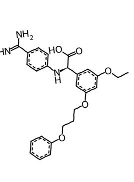 CCOc1cc(OCCCOc2ccccc2)cc([C@@H](Nc2ccc(C(=N)N)cc2)C(=O)O)c1